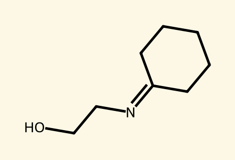 OCCN=C1CCCCC1